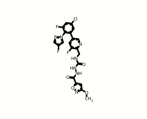 COc1cc(C(=O)NNC(=O)NCc2ncc(-c3cc(Cl)cc(F)c3-n3cc(F)cn3)cc2F)on1